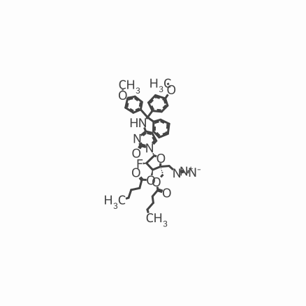 CCCCC(=O)OC[C@@]1(CN=[N+]=[N-])O[C@@H](n2ccc(NC(c3ccccc3)(c3ccc(OC)cc3)c3ccc(OC)cc3)nc2=O)[C@H](F)[C@@H]1OC(=O)CCCC